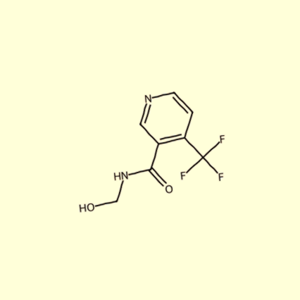 O=C(NCO)c1cnccc1C(F)(F)F